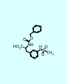 CS(=O)(=O)Nc1cccc(C[C@H](NC(=O)OCc2ccccc2)C(=O)O)c1